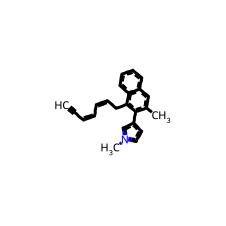 C#C/C=C\C=C/Cc1c(-c2ccn(C)c2)c(C)cc2ccccc12